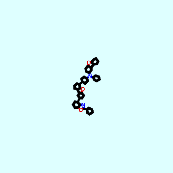 c1ccc(-c2nc3c(-c4ccc5oc6c(-c7ccc(N(c8ccccc8)c8ccc9oc%10ccccc%10c9c8)cc7)cccc6c5c4)cccc3o2)cc1